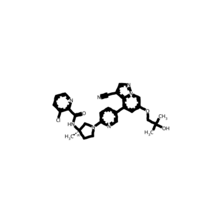 CC(C)(O)COc1cc(-c2ccc(N3CC[C@@](C)(NC(=O)c4ncccc4Cl)C3)nc2)c2c(C#N)cnn2c1